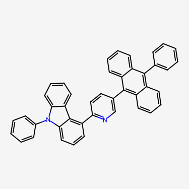 c1ccc(-c2c3ccccc3c(-c3ccc(-c4cccc5c4c4ccccc4n5-c4ccccc4)nc3)c3ccccc23)cc1